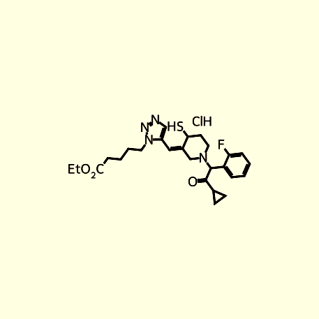 CCOC(=O)CCCCn1nncc1C=C1CN(C(C(=O)C2CC2)c2ccccc2F)CCC1S.Cl